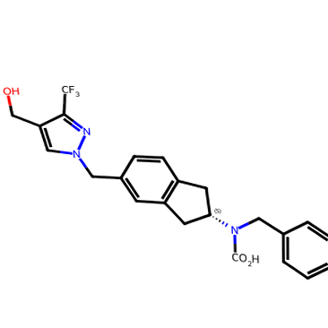 O=C(O)N(Cc1ccccc1)[C@H]1Cc2ccc(Cn3cc(CO)c(C(F)(F)F)n3)cc2C1